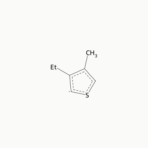 CCc1[c]scc1C